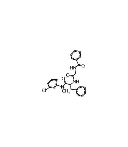 CN(C(=O)[C@H](Cc1ccccc1)NC(=O)CNC(=O)c1ccccc1)c1cccc(Cl)c1